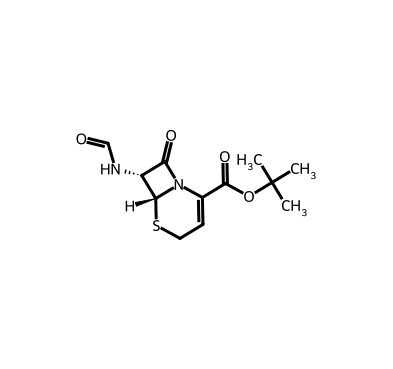 CC(C)(C)OC(=O)C1=CCS[C@@H]2[C@H](NC=O)C(=O)N12